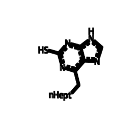 CCCCCCCCc1nc(S)nc2[nH]cnc12